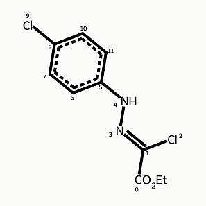 CCOC(=O)C(Cl)=NNc1ccc(Cl)cc1